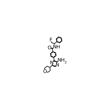 Nc1ncc(C2CCOCC2)nc1-c1ccc(C(=O)NC(CF)c2ccccc2)cc1